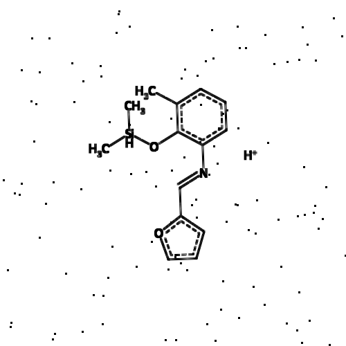 Cc1cccc(N=Cc2ccco2)c1O[SiH](C)C.[H+]